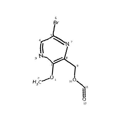 COc1ncc(Br)nc1COC=O